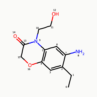 CCc1cc2c(cc1N)N(CCO)C(=O)CO2